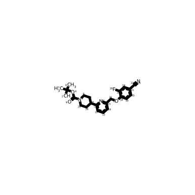 CC(C)(C)OC(=O)N1CCC(c2cccc(COc3ccc(C#N)cc3F)n2)CC1